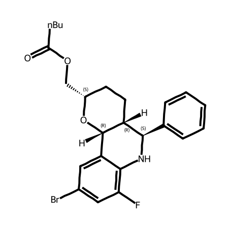 CCCCC(=O)OC[C@@H]1CC[C@@H]2[C@@H](c3ccccc3)Nc3c(F)cc(Br)cc3[C@@H]2O1